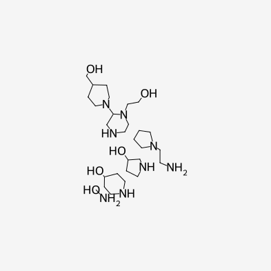 NCCN1CCCC1.NO.OC1CCNC1.OC1CCNCC1.OCCN1CCNCC1N1CCC(CO)CC1